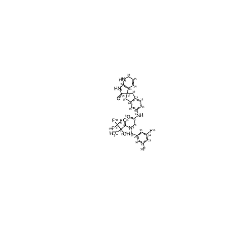 CC(O)(C(=O)N(CC(=O)Nc1ccc2c(c1)CC1(C2)C(=O)NC2=C1C=CCN2)Cc1cc(F)cc(F)c1)C(F)(F)F